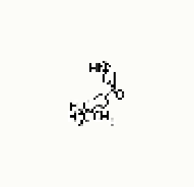 CC(C)(C)c1ccc(C(=O)N2CCC3(CCN3)CC2)cc1